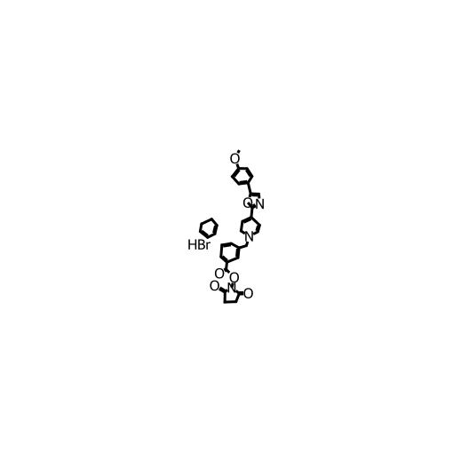 Br.C1=CCCC=C1.COc1ccc(-c2cnc(C3=CCN(Cc4cccc(C(=O)ON5C(=O)CCC5=O)c4)C=C3)o2)cc1